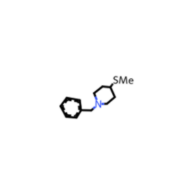 CSC1CCN(Cc2ccccc2)CC1